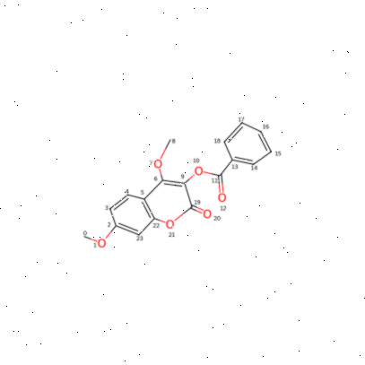 COc1ccc2c(OC)c(OC(=O)c3ccccc3)c(=O)oc2c1